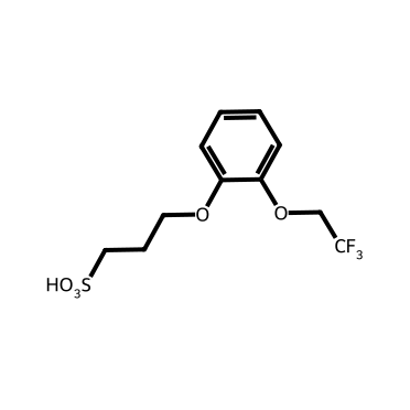 O=S(=O)(O)CCCOc1ccccc1OCC(F)(F)F